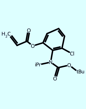 C=CC(=O)Oc1cccc(Cl)c1N(C(=O)OC(C)(C)C)C(C)C